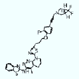 Cc1c(Nc2nc3ccccc3s2)nnc2c1CCCN2c1ncc(CCCOc2ccc(C#CCN3C[C@@H]4[C@H](C3)C4(F)F)cc2F)s1